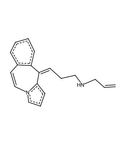 C=CCNCCC=C1c2ccccc2C=Cn2cccc21